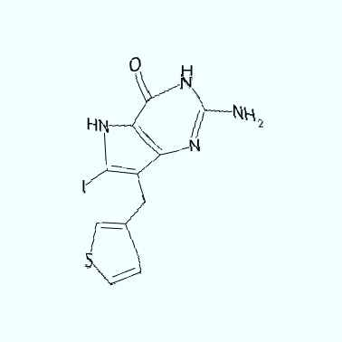 Nc1nc2c(Cc3ccsc3)c(I)[nH]c2c(=O)[nH]1